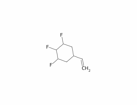 C=CC1CC(F)C(F)C(F)C1